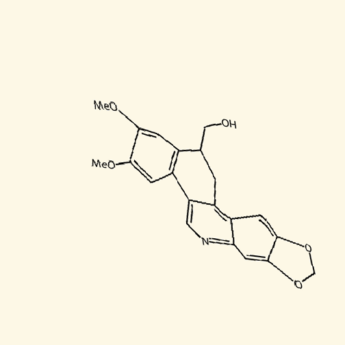 COc1cc2c(cc1OC)C(CO)Cc1c-2cnc2cc3c(cc12)OCO3